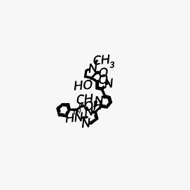 C[C@H](O)[C@@H](Nc1nccc(-c2cccc(-c3cc(C4(O)CCN(C)C4=O)on3)n2)n1)c1ccccc1